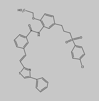 O=C(O)COc1ccc(CCCS(=O)(=O)c2ccc(Cl)cc2)cc1NC(=O)c1cccc(/C=C/c2nc(-c3ccccc3)cs2)c1